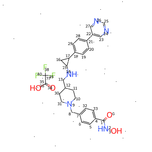 O=C(NO)c1ccc(CN2CCC(CNC3CC3c3ccc(-c4cncnc4)cc3)CC2)cc1.O=C(O)C(F)(F)F